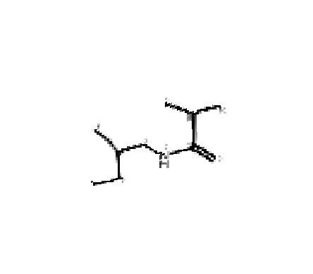 C=C(NCC(C)CC)C(C)C